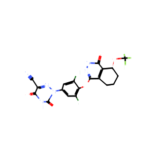 N#Cc1nn(-c2cc(Cl)c(Oc3n[nH]c(=O)c4c3CCC[C@@H]4OC(F)(F)F)c(Cl)c2)c(=O)[nH]c1=O